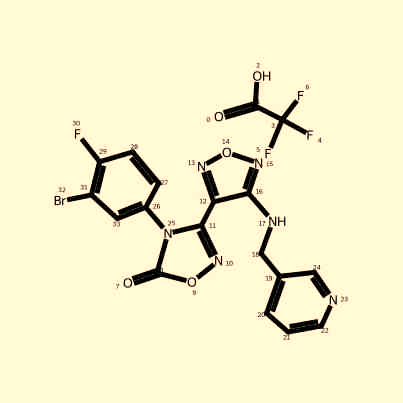 O=C(O)C(F)(F)F.O=c1onc(-c2nonc2NCc2cccnc2)n1-c1ccc(F)c(Br)c1